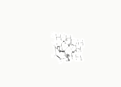 [2H]C([2H])([2H])C(O)(c1nccs1)C([2H])([2H])[2H]